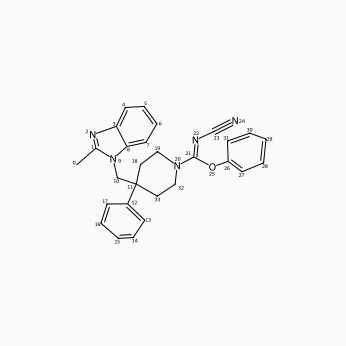 Cc1nc2ccccc2n1CC1(c2ccccc2)CCN(/C(=N/C#N)Oc2ccccc2)CC1